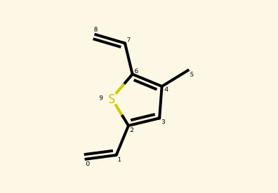 C=Cc1cc(C)c(C=C)s1